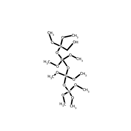 CO[Si](CO)(OC)O[Si](OC)(OC)O[Si](OC)(OC)O[Si](OC)(OC)OC